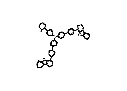 CC1C=CC=CC1c1ccc(N(c2ccc(-c3ccc(-c4cccc5c4oc4ccccc45)cc3)cc2)c2ccc(-c3ccc(-c4cccc5c4oc4ccccc45)cc3)cc2)cc1